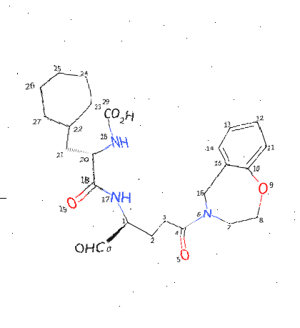 O=C[C@H](CCC(=O)N1CCOc2ccccc2C1)NC(=O)[C@H](CC1CCCCC1)NC(=O)O